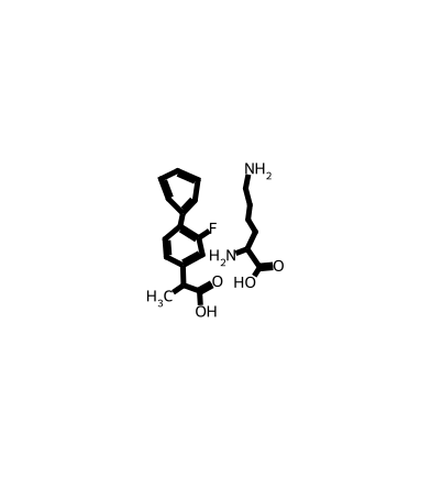 CC(C(=O)O)c1ccc(-c2ccccc2)c(F)c1.NCCCCC(N)C(=O)O